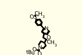 C[S+]([O-])c1ccc(-c2cc3c(cn2)O[C@@](C)(C2CCN(C(=O)OC(C)(C)C)CC2)C3)cc1